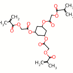 C=C(C)C(=O)OCC(=O)OC1CC(OC(=O)COC(=O)C(=C)C)CC(OC(=O)COC(=O)C(=C)C)C1